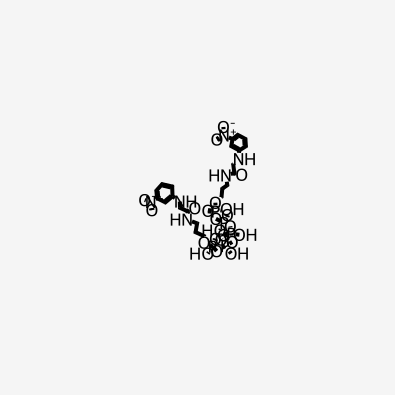 O=C(CNc1cccc([N+](=O)[O-])c1)NCCCOP(=O)(O)OP(=O)(O)OP(=O)(O)OP(=O)(O)OP(=O)(O)OCCCNC(=O)CNc1cccc([N+](=O)[O-])c1